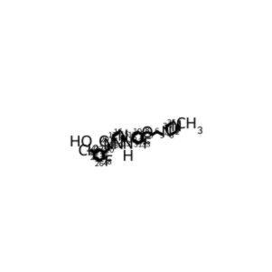 CN1CCN(CCCOc2ccc(Nc3nccc(N(Cc4cc(Cl)ccc4F)C(=O)O)n3)cc2F)CC1